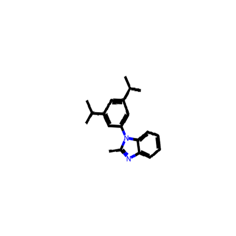 Cc1nc2ccccc2n1-c1cc(C(C)C)cc(C(C)C)c1